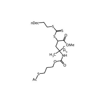 CCCCCCCCCCCCSC(=S)SC(CC(C)(C)NC(=O)OCCCSC(C)=O)C(=O)OC